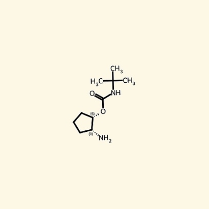 CC(C)(C)NC(=O)O[C@H]1CCC[C@H]1N